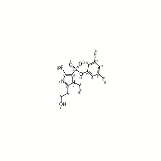 CC(C)c1nc(CCO)n(CF)c1S(=O)(=O)Oc1cc(F)cc(F)c1